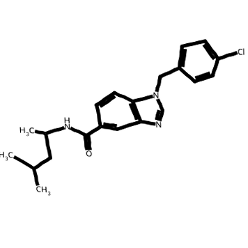 CC(C)CC(C)NC(=O)c1ccc2c(c1)ncn2Cc1ccc(Cl)cc1